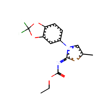 CCOC(=O)/N=c1\sc(C)cn1-c1ccc2c(c1)OC(F)(F)O2